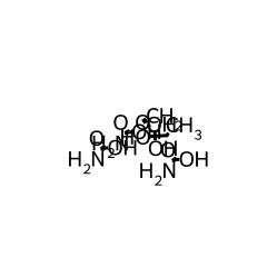 C=O.CCC(O)(O)O.NC(=O)O.NC(=O)O.NC(=O)O